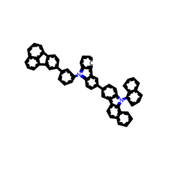 c1cc(-c2ccc3c(c2)-c2cccc4cccc-3c24)cc(-n2c3ccccc3c3cc(-c4ccc5c(c4)c4ccc6ccccc6c4n5-c4cccc5ccccc45)ccc32)c1